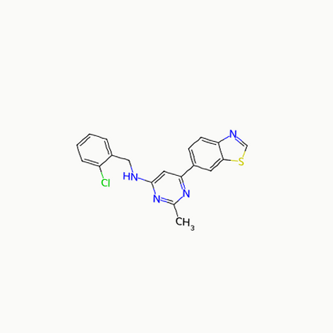 Cc1nc(NCc2ccccc2Cl)cc(-c2ccc3ncsc3c2)n1